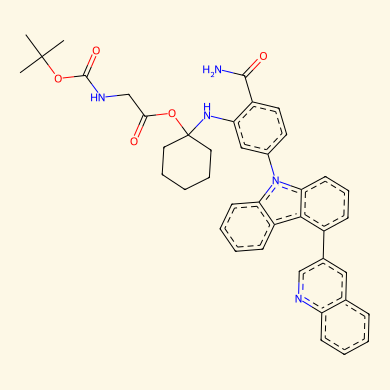 CC(C)(C)OC(=O)NCC(=O)OC1(Nc2cc(-n3c4ccccc4c4c(-c5cnc6ccccc6c5)cccc43)ccc2C(N)=O)CCCCC1